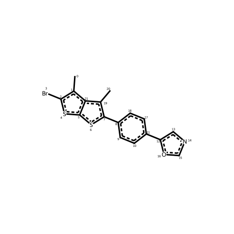 Cc1c(Br)sc2sc(-c3ccc(-c4cnco4)cc3)c(C)c12